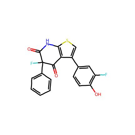 O=C1Nc2scc(-c3ccc(O)c(F)c3)c2C(=O)C1(F)c1ccccc1